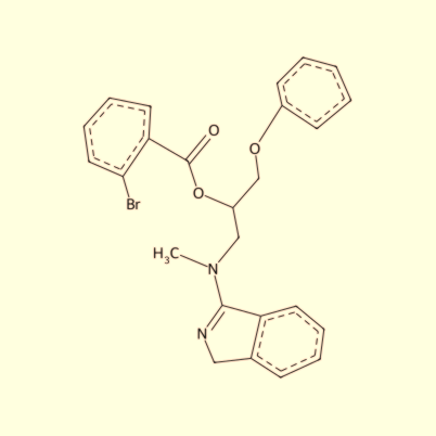 CN(CC(COc1ccccc1)OC(=O)c1ccccc1Br)C1=NCc2ccccc21